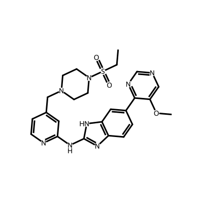 CCS(=O)(=O)N1CCN(Cc2ccnc(Nc3nc4ccc(-c5ncncc5OC)cc4[nH]3)c2)CC1